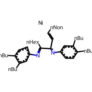 CCCCCCCCC/C=C/C(=N\c1ccc(CCCC)c(CCCC)c1)C(/CCCCCC)=N/c1ccc(CCCC)c(CCCC)c1.[Ni]